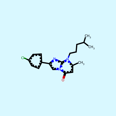 Cc1cc(=O)n2cc(-c3ccc(Cl)cc3)nc2n1CCCC(C)C